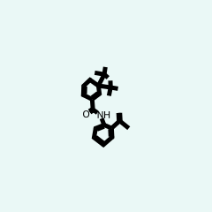 C=C(C)c1ccccc1NC(=O)C1=CC(C(C)(C)C)(C(C)(C)C)CC=C1